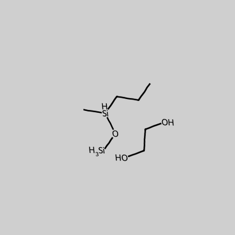 CCC[SiH](C)O[SiH3].OCCO